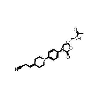 CC(=O)NC[C@H]1CN(c2ccc(N3CCC(=CCC#N)CC3)cc2)C(=O)O1